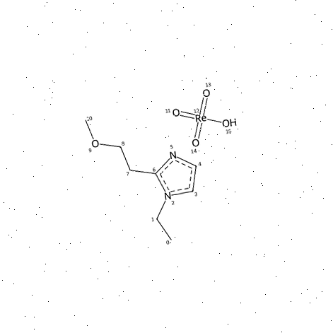 CCn1ccnc1CCOC.[O]=[Re](=[O])(=[O])[OH]